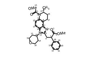 COC(=O)C(Cc1nc2c3c(ccc2n1C1CCOCC1)N(C(=O)OC)[C@@H](C)CC3)c1ccccc1